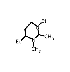 CCC1CCN(CC)C(C)N1C